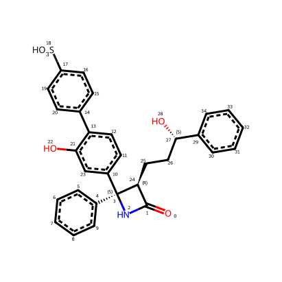 O=C1N[C@@](c2ccccc2)(c2ccc(-c3ccc(S(=O)(=O)O)cc3)c(O)c2)[C@H]1CC[C@H](O)c1ccccc1